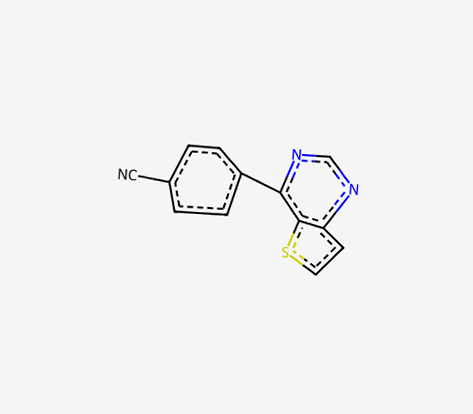 N#Cc1ccc(-c2ncnc3ccsc23)cc1